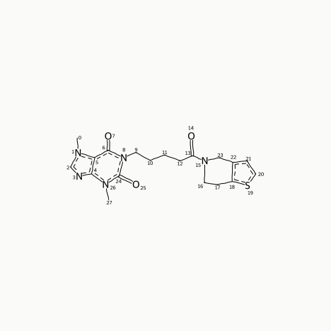 Cn1cnc2c1c(=O)n(CCCCC(=O)N1CCc3sccc3C1)c(=O)n2C